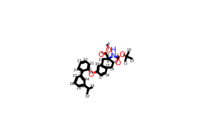 COC(=O)C1(NC(=O)OC(C)(C)C)CCc2ccc(Oc3ccccc3-c3cccc(C(C)C)c3)cc2C1